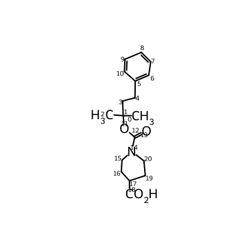 CC(C)(CCc1ccccc1)OC(=O)N1CCC(C(=O)O)CC1